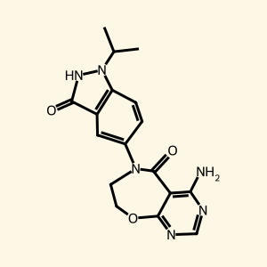 CC(C)n1[nH]c(=O)c2cc(N3CCOc4ncnc(N)c4C3=O)ccc21